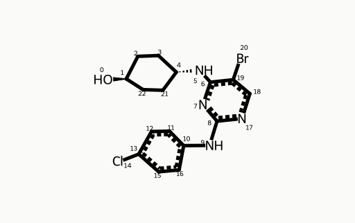 O[C@H]1CC[C@H](Nc2nc(Nc3ccc(Cl)cc3)ncc2Br)CC1